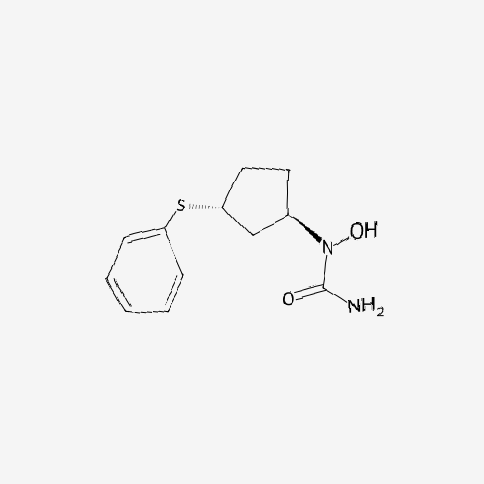 NC(=O)N(O)[C@@H]1CC[C@@H](Sc2ccccc2)C1